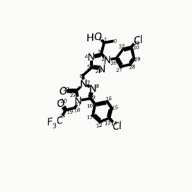 CC(O)c1nc(Cn2nc(-c3ccc(Cl)cc3)n(CC(=O)C(F)(F)F)c2=O)nn1-c1cccc(Cl)c1